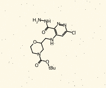 CC(C)(C)OC(=O)N1CCOC(CNc2cc(Cl)nnc2C(=O)NN)C1